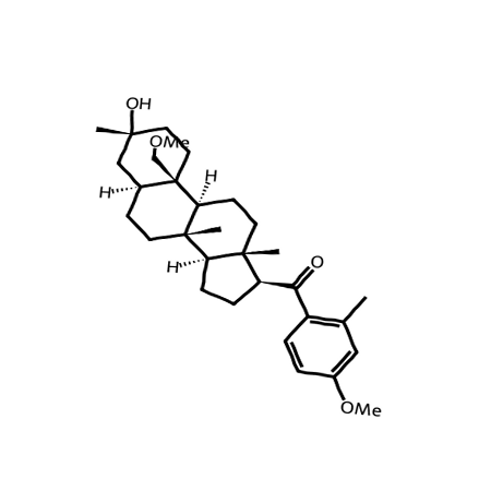 COC[C@]12CC[C@@](C)(O)C[C@@H]1CC[C@@]1(C)[C@@H]3CC[C@H](C(=O)c4ccc(OC)cc4C)[C@@]3(C)CC[C@@H]12